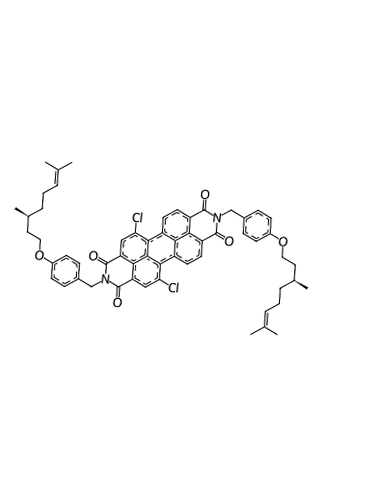 CC(C)=CCC[C@H](C)CCOc1ccc(CN2C(=O)c3ccc4c5c(Cl)cc6c7c(cc(Cl)c(c8ccc(c3c48)C2=O)c75)C(=O)N(Cc2ccc(OCC[C@@H](C)CCC=C(C)C)cc2)C6=O)cc1